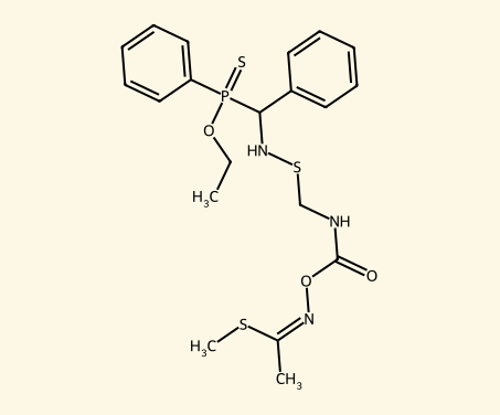 CCOP(=S)(c1ccccc1)C(NSCNC(=O)ON=C(C)SC)c1ccccc1